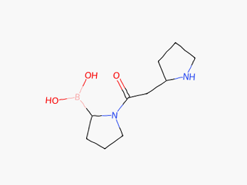 O=C(CC1CCCN1)N1CCCC1B(O)O